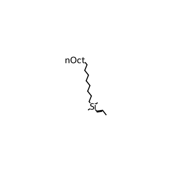 CC=C[Si](C)(C)CCCCCCCCCCCCCCCC